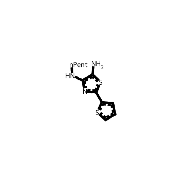 CCCCCNc1nc(-c2cccs2)sc1N